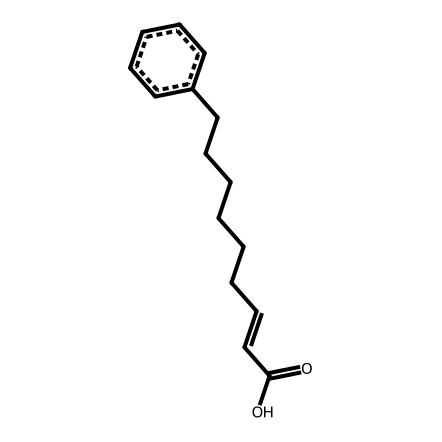 O=C(O)/C=C/CCCCCCc1ccccc1